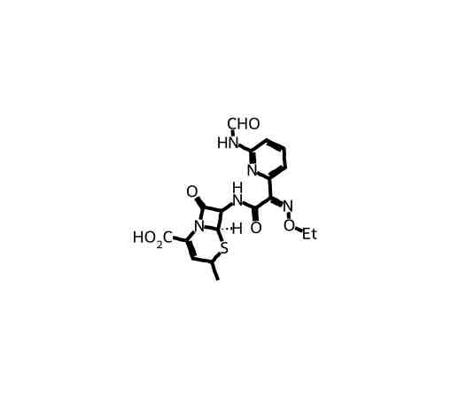 CCO/N=C(\C(=O)NC1C(=O)N2C(C(=O)O)=CC(C)S[C@H]12)c1cccc(NC=O)n1